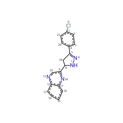 Clc1ccc(C2=NNC(c3cnc4ccccc4n3)C2)cc1